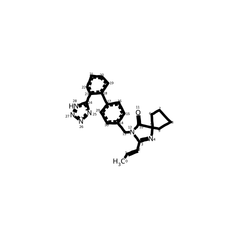 C/C=C/C1=NC2(CCCC2)C(=O)N1Cc1ccc(-c2ccccc2-c2nnn[nH]2)cc1